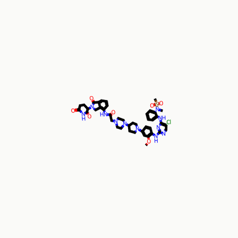 COc1cc(N2CCC(N3CCN(CC(=O)Nc4cccc5c4CN(C4CCC(=O)NC4=O)C5=O)CC3)CC2)ccc1Nc1ncc(Cl)c(Nc2ccccc2N(C)S(C)(=O)=O)n1